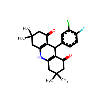 CC1(C)CC(=O)C2=C(C1)NC1=C(C(=O)CC(C)(C)C1)C2c1ccc(F)c(Cl)c1